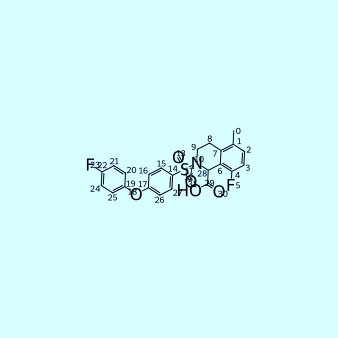 Cc1ccc(F)c2c1CCN(S(=O)(=O)c1ccc(Oc3ccc(F)cc3)cc1)C2C(=O)O